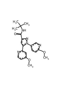 COc1ccnc(-c2cc(C(=O)NC(C)(C)C)nn2-c2ccc(OC)nc2)c1